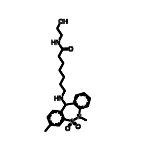 Cc1ccc2c(c1)S(=O)(=O)N(C)c1ccccc1C2NCCCCCCC(=O)NCCO